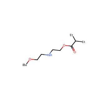 CCC(C)OCCNCCOC(=O)C(CC)CC